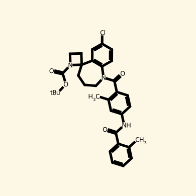 Cc1ccccc1C(=O)Nc1ccc(C(=O)N2CCCC3(CCN3C(=O)OC(C)(C)C)c3cc(Cl)ccc32)c(C)c1